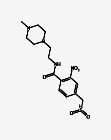 CN1CCN(CCNC(=O)c2c[c]c(C[SH](=O)=O)cc2[N+](=O)[O-])CC1